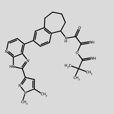 Cc1cc(-c2nc3c(-c4ccc5c(c4)CCCCC5NC(=O)C(=N)OC(=N)C(C)(C)C)ccnc3[nH]2)nn1C